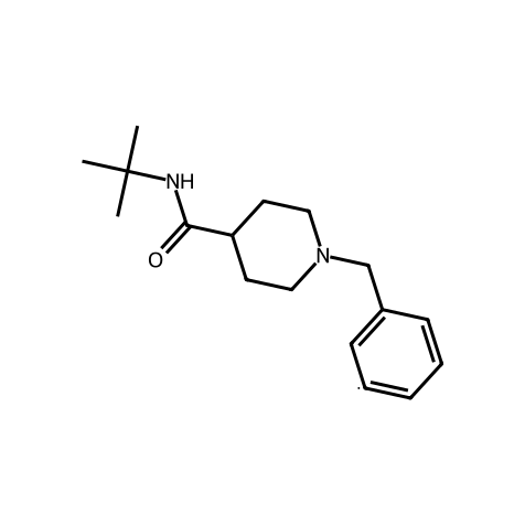 CC(C)(C)NC(=O)C1CCN(Cc2c[c]ccc2)CC1